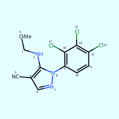 COCNc1c(C#N)cnn1-c1ccc(Cl)c(Cl)c1Cl